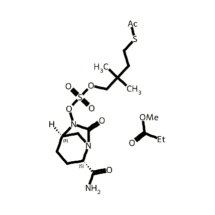 CC(=O)SCCC(C)(C)COS(=O)(=O)ON1C(=O)N2C[C@H]1CC[C@H]2C(N)=O.CCC(=O)OC